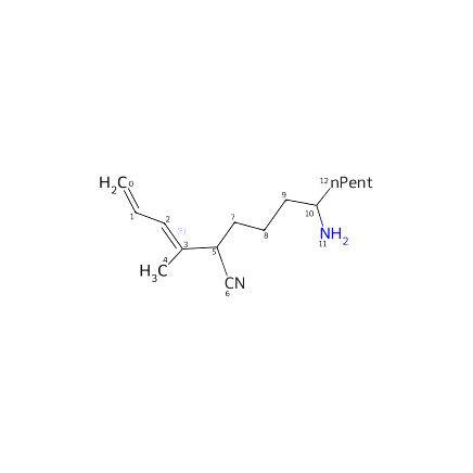 C=C/C=C(\C)C(C#N)CCCC(N)CCCCC